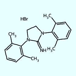 Br.Cc1cccc(C)c1N1CCN(c2c(C)cccc2C)C1=N